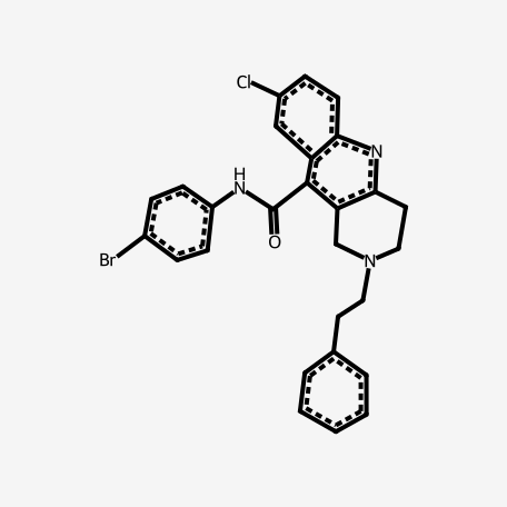 O=C(Nc1ccc(Br)cc1)c1c2c(nc3ccc(Cl)cc13)CCN(CCc1ccccc1)C2